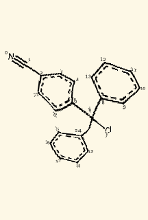 N#Cc1ccc(C(Cl)(c2ccccc2)c2ccccc2)cc1